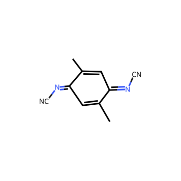 CC1=CC(=N\C#N)/C(C)=CC/1=N\C#N